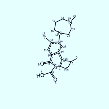 CC1Sc2c(C(=O)O)c(=O)c3cc(F)c(N4CCCN(C)CC4)cc3n21